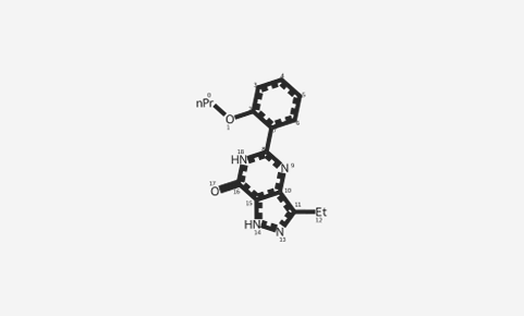 CCCOc1ccccc1-c1nc2c(CC)n[nH]c2c(=O)[nH]1